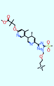 COC(=O)C(C)(C)COc1cc(C)c(C2C=NC(c3nc(S(C)(=O)=O)n(COCC[Si](C)(C)C)n3)=C[C@@H]2C)cn1